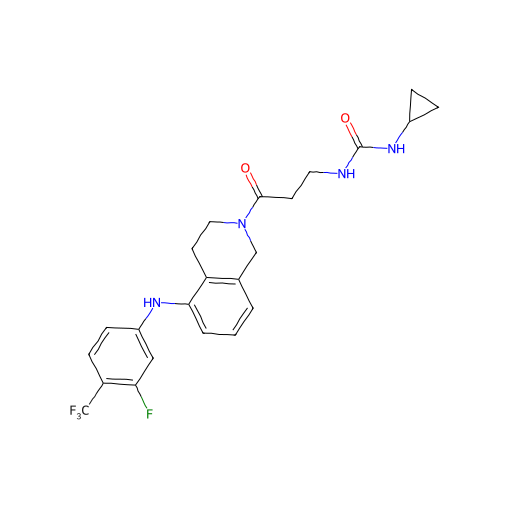 O=C(NCCC(=O)N1CCc2c(cccc2Nc2ccc(C(F)(F)F)c(F)c2)C1)NC1CC1